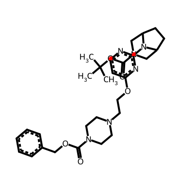 CC(C)(C)OC(=O)N1CC2CCC(C1)N2c1nccc(OCCN2CCN(C(=O)OCc3ccccc3)CC2)n1